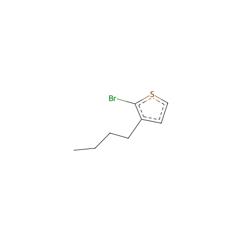 CCCCc1ccsc1Br